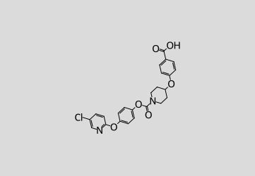 O=C(O)c1ccc(OC2CCN(C(=O)Oc3ccc(Oc4ccc(Cl)cn4)cc3)CC2)cc1